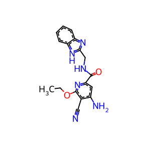 CCOc1nc(C(=O)NCc2nc3ccccc3[nH]2)cc(N)c1C#N